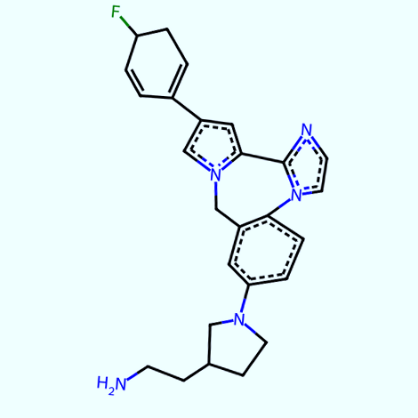 NCCC1CCN(c2ccc3c(c2)Cn2cc(C4=CCC(F)C=C4)cc2-c2nccn2-3)C1